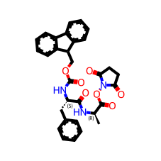 C[C@@H](NC(=O)[C@H](Cc1ccccc1)NC(=O)OCC1c2ccccc2-c2ccccc21)C(=O)ON1C(=O)CCC1=O